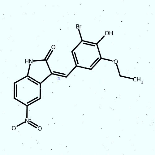 CCOc1cc(/C=C2\C(=O)Nc3ccc([N+](=O)[O-])cc32)cc(Br)c1O